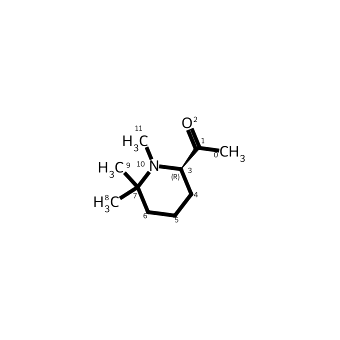 CC(=O)[C@H]1CCCC(C)(C)N1C